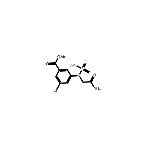 C=S(=O)(CCC)N(CC(N)=O)c1cc(Cl)cc(C(=O)OC)c1